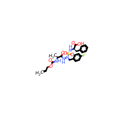 C=CCOC(=O)N[C@@H](C)C(=O)NN(Cc1ccc(F)cc1)S(=O)(=O)N[C@H](Cc1ccccc1)C(=O)O